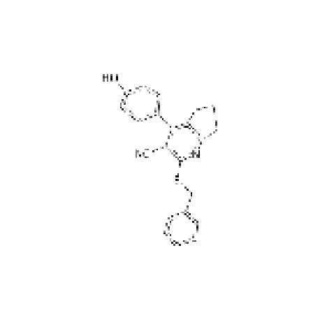 N#Cc1c(SCc2ccccc2)nc2c(c1-c1ccc(O)cc1)CCC2